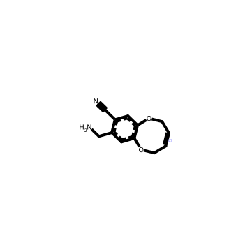 N#Cc1cc2c(cc1CN)OC/C=C\CO2